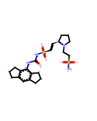 NS(=O)(=O)CCN1CCC[C@@H]1/C=C/S(=O)(=O)NC(=O)Nc1c2c(cc3c1CCC3)CCC2